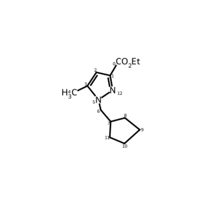 CCOC(=O)c1cc(C)n(CC2CCCC2)n1